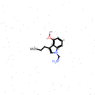 CNCCc1cn(CN)c2cccc(OI)c12